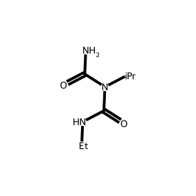 CCNC(=O)N(C(N)=O)C(C)C